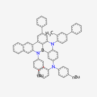 CCCCc1ccc(N(c2ccccc2)c2ccc3c(c2)B2c4c(cc(-c5ccccc5)cc4N3c3ccc(-c4ccccc4)cc3C)-c3cc4ccccc4cc3N2c2ccc(C(C)(C)C)cc2)cc1